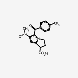 C[S+]([O-])c1cc2n(c1C(=O)c1ccc(C(F)(F)F)cc1)CCC2C(=O)O